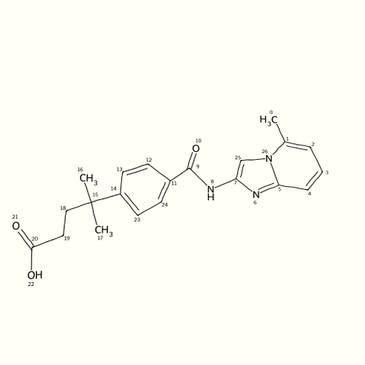 Cc1cccc2nc(NC(=O)c3ccc(C(C)(C)CCC(=O)O)cc3)cn12